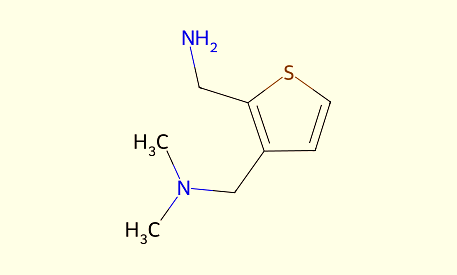 CN(C)Cc1ccsc1CN